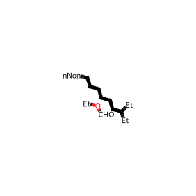 CCCCCCCCCCCCCCCC(CC)CC.CCO[C]=O